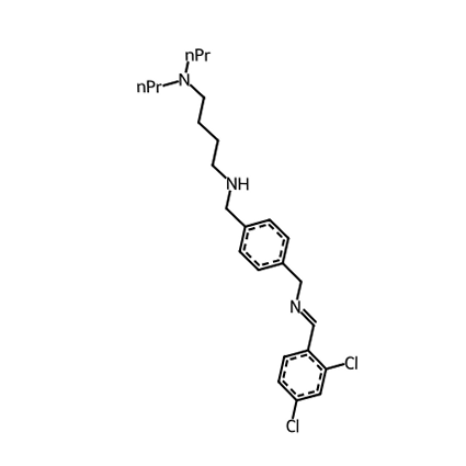 CCCN(CCC)CCCCNCc1ccc(CN=Cc2ccc(Cl)cc2Cl)cc1